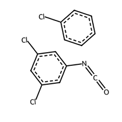 Clc1ccccc1.O=C=Nc1cc(Cl)cc(Cl)c1